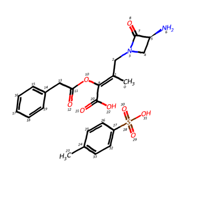 CC(CN1C[C@H](N)C1=O)=C(OC(=O)Cc1ccccc1)C(=O)O.Cc1ccc(S(=O)(=O)O)cc1